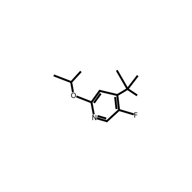 CC(C)Oc1cc(C(C)(C)C)c(F)cn1